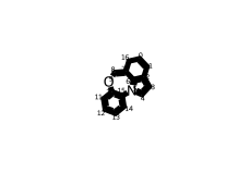 C1=Cc2ccn3c2C(=COc2ccccc2-3)C1